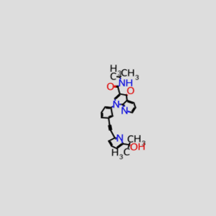 CC(C)NC(=O)c1cn(-c2cccc(C#Cc3cccc(C(C)(C)O)n3)c2)c2ncccc2c1=O